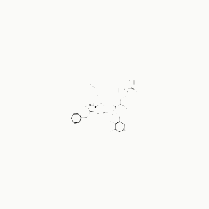 Cc1cc(O)cc(C)c1CC(NC(=O)C(N)CCNC(=N)N)C(=O)CC(CCCN)c1nc(Cc2ccccc2)no1